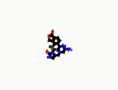 Cc1c([C@@H]2CN(Cc3c[nH]c(=O)n3C)C[C@H](N)N2)ccc2c1COC2=O